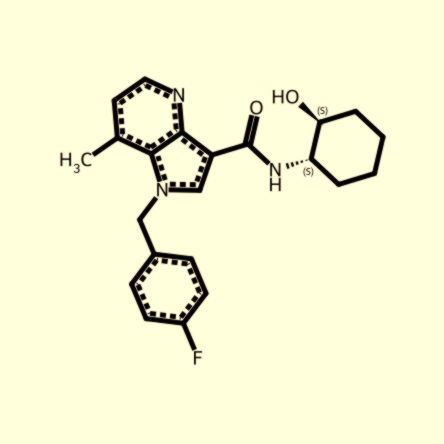 Cc1ccnc2c(C(=O)N[C@H]3CCCC[C@@H]3O)cn(Cc3ccc(F)cc3)c12